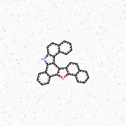 c1ccc2c(c1)ccc1c2oc2c3ccccc3c3[nH]c4ccc5ccccc5c4c3c12